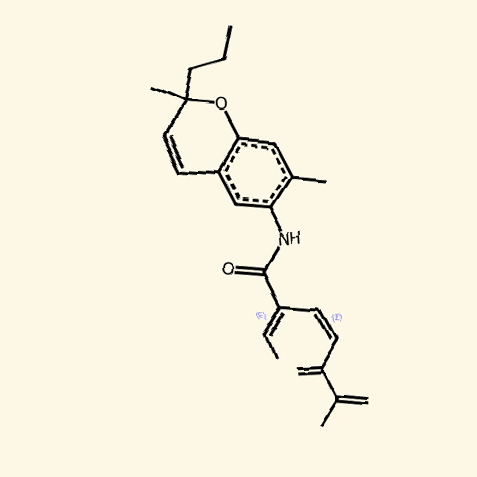 C=C(C)C(=C)/C=C\C(=C/C)C(=O)Nc1cc2c(cc1C)OC(C)(CCC)C=C2